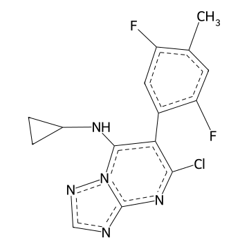 Cc1cc(F)c(-c2c(Cl)nc3ncnn3c2NC2CC2)cc1F